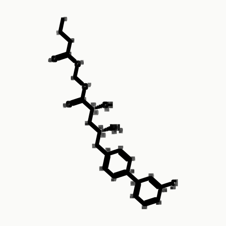 CCCC(=O)OCOC(=O)[C@H](O)C[C@H](N)Cc1ccc(-c2cccc(Cl)c2)cc1